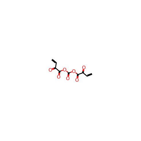 C=CC(=O)C(=O)OC(=O)OC(=O)C(=O)C=C